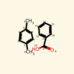 Cc1ccc(C)cc1.O=C(O)c1ccccc1